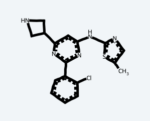 Cc1cnc(Nc2cc(C3CNC3)nc(-c3ccccc3Cl)n2)s1